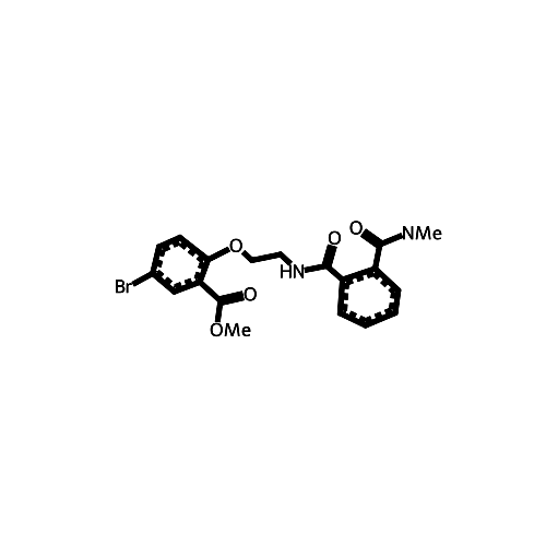 CNC(=O)c1ccccc1C(=O)NCCOc1ccc(Br)cc1C(=O)OC